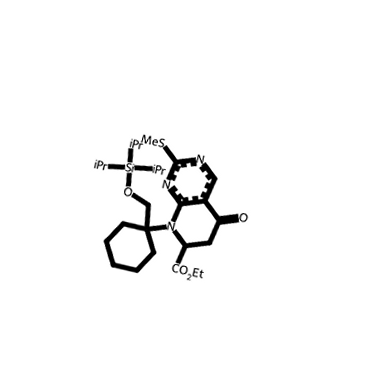 CCOC(=O)C1CC(=O)c2cnc(SC)nc2N1C1(CO[Si](C(C)C)(C(C)C)C(C)C)CCCCC1